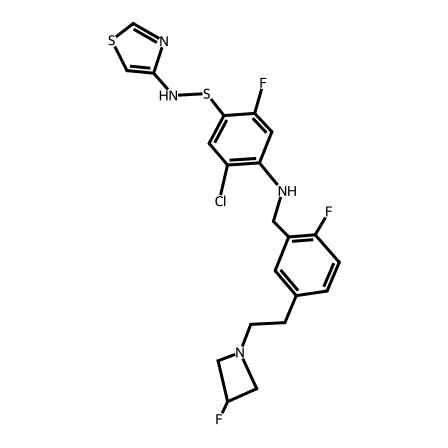 Fc1ccc(CCN2CC(F)C2)cc1CNc1cc(F)c(SNc2cscn2)cc1Cl